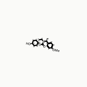 COc1ccc([C@H](C)N2CC[C@]3(CC[C@H](O)CC3)OC2=O)cc1